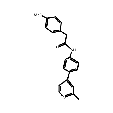 COc1ccc(CC(=O)Nc2ccc(-c3ccnc(C)c3)cc2)cc1